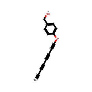 C#CC#CC#CC#COc1ccc(CO)cc1